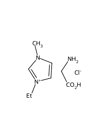 CC[n+]1ccn(C)c1.NCC(=O)O.[Cl-]